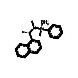 [BH3-][P@@+](C)(c1ccccc1)N(C)[C@@H](C)c1cccc2ccccc12